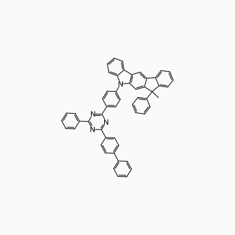 CC1(c2ccccc2)c2ccccc2-c2cc3c4ccccc4n(-c4ccc(-c5nc(-c6ccccc6)nc(-c6ccc(-c7ccccc7)cc6)n5)cc4)c3cc21